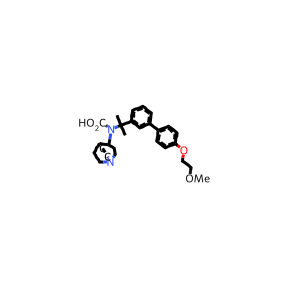 COCCOc1ccc(-c2cccc(C(C)(C)N(C(=O)O)C3CCN4CCC3CC4)c2)cc1